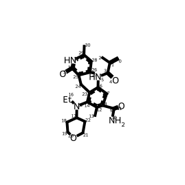 C=C(C)C(=O)Nc1cc(C(N)=O)c(C)c(N(CC)C2CCOCC2)c1Cc1c(C)cc(C)[nH]c1=O